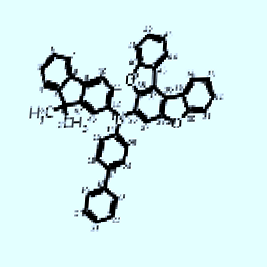 CC1(C)c2ccccc2-c2ccc(N(c3ccc(-c4ccccc4)cc3)c3cc4oc5ccccc5c4c4c3oc3ccccc34)cc21